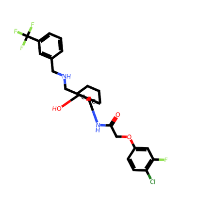 O=C(COc1ccc(Cl)c(F)c1)NC1CC(O)C2(CNCc3cccc(C(F)(F)F)c3)CCC1CC2